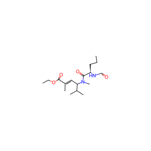 CCC[C@@H](NC=O)C(=O)N(C)C(/C=C(\C)C(=O)OCC)C(C)C